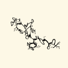 CC(C)(C)OC(=O)CON=C(C(=O)NC1C(=O)N2C=C(C(=O)O)CS[C@H]12)c1cscn1